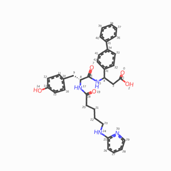 O=C(O)CC(NC(=O)[C@@H](Cc1ccc(O)cc1)NC(=O)CCCCNc1ccccn1)c1ccc(-c2ccccc2)cc1